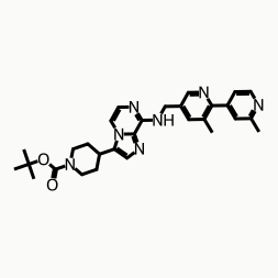 Cc1cc(-c2ncc(CNc3nccn4c(C5CCN(C(=O)OC(C)(C)C)CC5)cnc34)cc2C)ccn1